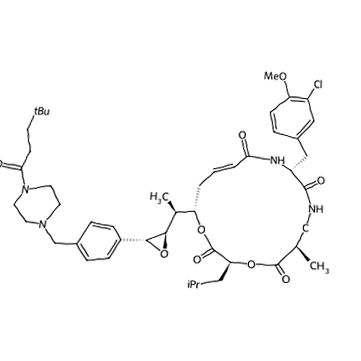 COc1ccc(C[C@H]2NC(=O)/C=C/C[C@@H]([C@H](C)[C@H]3O[C@@H]3c3ccc(CN4CCN(C(=O)CCC(C)(C)C)CC4)cc3)OC(=O)[C@H](CC(C)C)OC(=O)[C@H](C)CNC2=O)cc1Cl